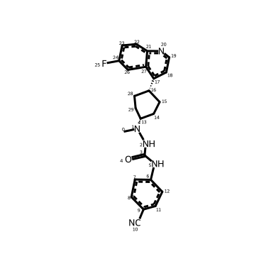 CN(NC(=O)Nc1ccc(C#N)cc1)[C@H]1CC[C@@H](c2ccnc3ccc(F)cc32)CC1